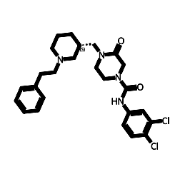 O=C1CN(C(=O)Nc2ccc(Cl)c(Cl)c2)CCN1C[C@H]1CCCN(CCc2ccccc2)C1